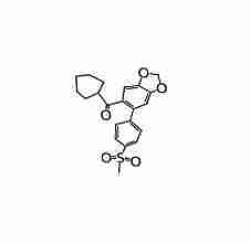 CS(=O)(=O)c1ccc(-c2cc3c(cc2C(=O)C2CCCCC2)OCO3)cc1